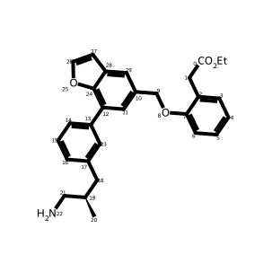 CCOC(=O)Cc1ccccc1OCc1cc(-c2cccc(C[C@@H](C)CN)c2)c2occc2c1